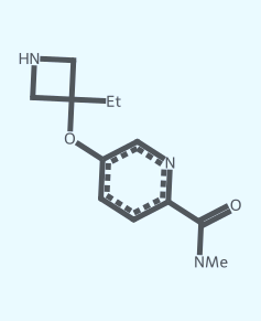 CCC1(Oc2ccc(C(=O)NC)nc2)CNC1